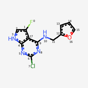 Fc1c[nH]c2nc(Cl)nc(NCc3ccco3)c12